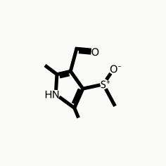 Cc1[nH]c(C)c([S+](C)[O-])c1C=O